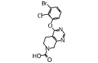 O=C(O)N1CCc2c(ncnc2Oc2cccc(Br)c2Cl)C1